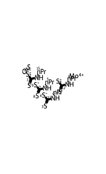 CCCNC(=S)[S-].CCCNC(=S)[S-].CCCNC(=S)[S-].CCCNC(=S)[S-].O=S.[Mo+4]